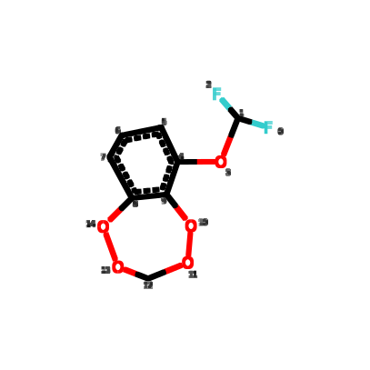 FC(F)Oc1cc[c]c2c1OOCOO2